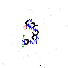 Cc1cc2nccc(=O)n2nc1N1CCc2ncc(Nc3cc(F)nc(F)c3)cc2C1